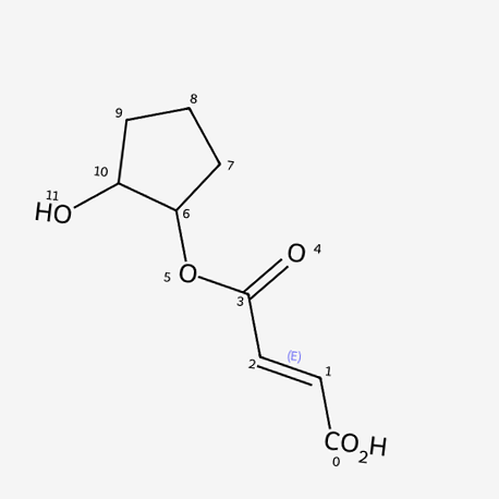 O=C(O)/C=C/C(=O)OC1CCCC1O